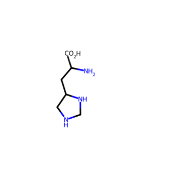 NC(CC1CNCN1)C(=O)O